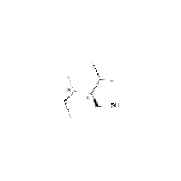 CC[C@H](C)[C@H](CO)C(C)C